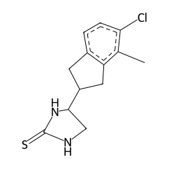 Cc1c(Cl)ccc2c1CC(C1CNC(=S)N1)C2